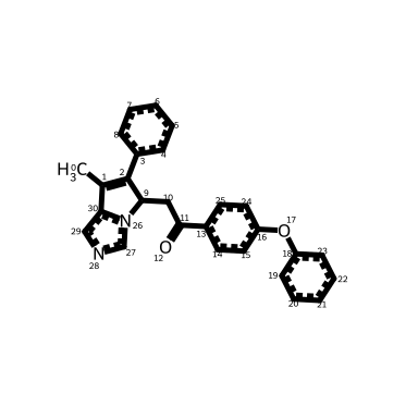 CC1=C(c2ccccc2)C(CC(=O)c2ccc(Oc3ccccc3)cc2)n2cncc21